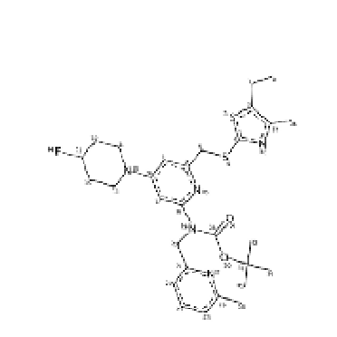 CCc1sc(SCc2cc(N3CCC(F)CC3)cc(N(Cc3cccc(C)n3)C(=O)OC(C)(C)C)n2)nc1C